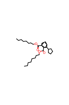 CCCCCCCCOC(=O)c1cccc(C2CCCC2)c1C(=O)OCCCCCCCC